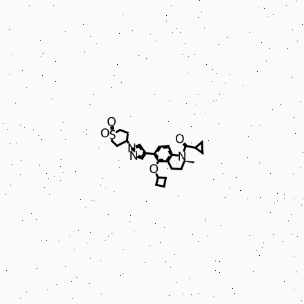 C[C@H]1CCc2c(ccc(-c3cnn(C4CCS(=O)(=O)CC4)c3)c2OC2CCC2)N1C(=O)C1CC1